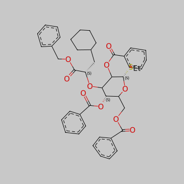 CCS[C@@H]1OC(COC(=O)c2ccccc2)[C@H](OC(=O)c2ccccc2)C(O[C@@H](CC2CCCCC2)C(=O)OCc2ccccc2)C1OC(=O)c1ccccc1